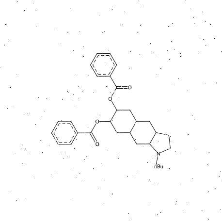 CCCCN1CCC2CC3CC(OC(=O)c4ccccc4)C(OC(=O)c4ccccc4)CC3CC21